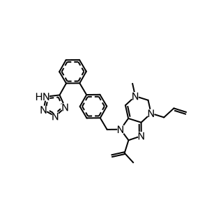 C=CCN1CN(C)C=C2C1=NC(C(=C)C)N2Cc1ccc(-c2ccccc2-c2nnn[nH]2)cc1